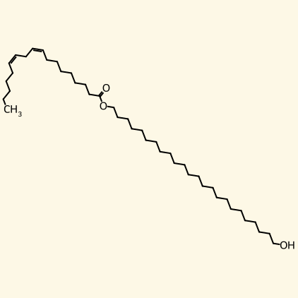 CCCCC/C=C\C/C=C\CCCCCCCC(=O)OCCCCCCCCCCCCCCCCCCCCCCCCO